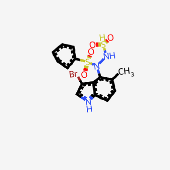 Cc1ccc2[nH]cc(Br)c2c1N(N[SH](=O)=O)S(=O)(=O)c1ccccc1